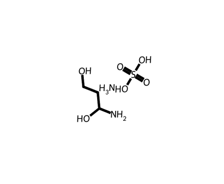 N.NC(O)CCO.O=S(=O)(O)O